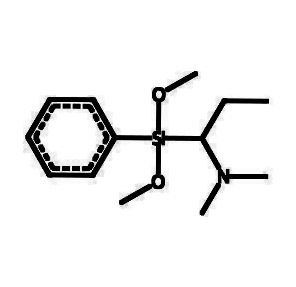 CCC(N(C)C)[Si](OC)(OC)c1ccccc1